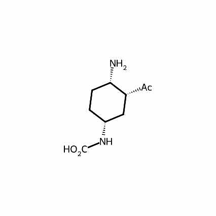 CC(=O)[C@@H]1C[C@H](NC(=O)O)CC[C@@H]1N